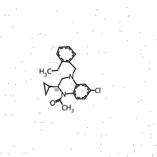 CCc1ccccc1CN1C[C@H](C2CC2)N(C(C)=O)c2ccc(Cl)cc21